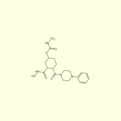 CNC(=O)OC1CCC(C(=O)N2CCN(c3ccccc3)CC2)C(C(=O)NO)C1